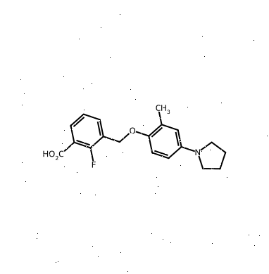 Cc1cc(N2CCCC2)ccc1OCc1cccc(C(=O)O)c1F